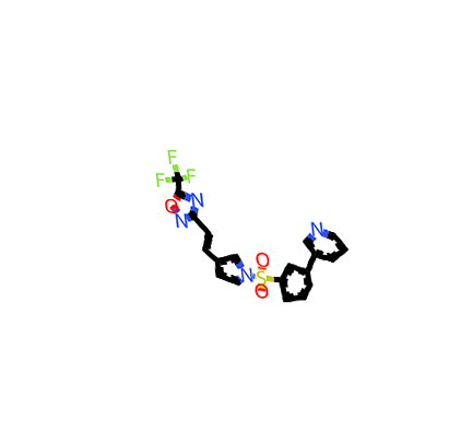 O=S(=O)(c1cccc(-c2cccnc2)c1)n1ccc(C=Cc2noc(C(F)(F)F)n2)c1